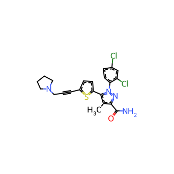 Cc1c(C(N)=O)nn(-c2ccc(Cl)cc2Cl)c1-c1ccc(C#CCN2CCCC2)s1